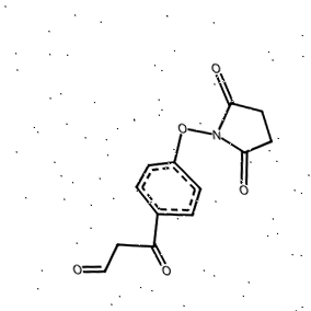 O=CCC(=O)c1ccc(ON2C(=O)CCC2=O)cc1